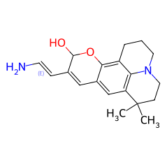 CC1(C)CCN2CCCc3c4c(cc1c32)C=C(/C=C/N)C(O)O4